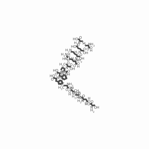 CC(C)[C@H](N)C(=O)O.C[C@@H](O)[C@H](N)C(=O)O.C[C@H](N)C(=O)O.N=C(N)NCCC[C@H](N)C(=O)O.NCC(=O)O.NCCCC[C@H](N)C(=O)O.N[C@@H](CC(=O)O)C(=O)O.N[C@@H](CCC(=O)O)C(=O)O.N[C@@H](CO)C(=O)O.N[C@@H](CSSC[C@H](N)C(=O)O)C(=O)O.N[C@@H](Cc1ccccc1)C(=O)O.N[C@@H](Cc1ccccc1)C(=O)O.O=C(O)[C@@H]1CCCN1